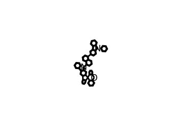 c1ccc(-n2c3ccccc3c3cc(-c4cccc5c(-n6c7ccccc7c7cc8c(cc76)C6(c7ccccc7Oc7ccccc76)c6ccccc6-8)cccc45)ccc32)cc1